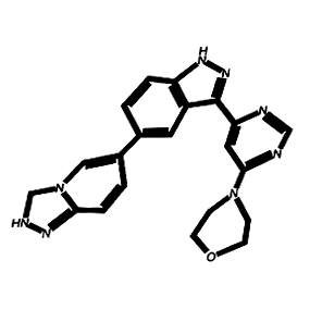 C1=CC2=NNCN2C=C1c1ccc2[nH]nc(-c3cc(N4CCOCC4)ncn3)c2c1